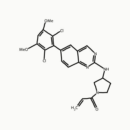 C=CC(=O)N1CCC(Nc2ncc3cc(-c4c(Cl)c(OC)cc(OC)c4Cl)ccc3n2)C1